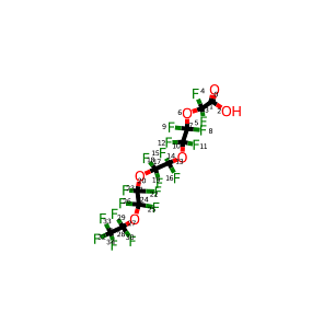 O=C(O)C(F)(F)OC(F)(F)C(F)(F)OC(F)(F)C(F)(F)OC(F)(F)C(F)(F)OC(F)(F)C(F)(F)F